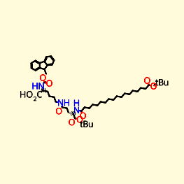 CC(C)(C)OC(=O)CCCCCCCCCCCCCCCCC(=O)N[C@@H](CCC(=O)NCCCC[C@H](NC(=O)OCC1c2ccccc2-c2ccccc21)C(=O)O)C(=O)OC(C)(C)C